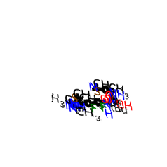 Cc1ncsc1-c1ccc(C(C)NC(=O)[C@@H]2C[C@@H](O)CN2C(=O)C(NC(=O)c2ccc(-c3ccc(C4=N[C@@H](C)c5nnc(C)n5-c5sc(C)c(C)c54)cc3F)cc2F)C(C)(C)C)cc1